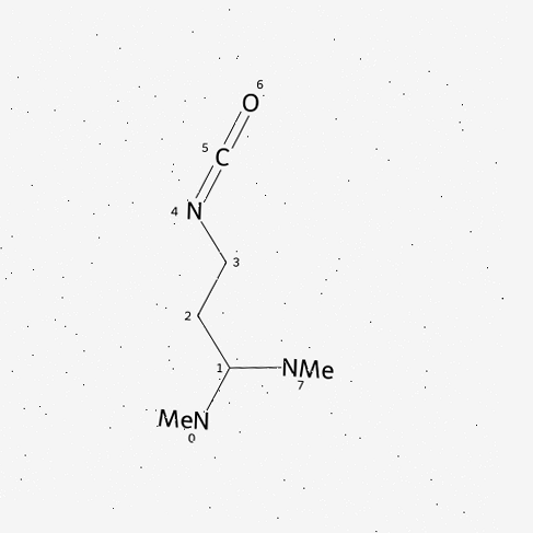 CNC(CCN=C=O)NC